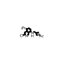 CC(=O)N1CC(CNc2ccc(C(C)C)c3cc(Cl)ncc23)C1